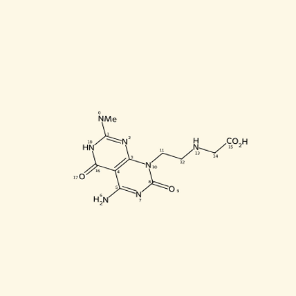 CNc1nc2c(c(N)nc(=O)n2CCNCC(=O)O)c(=O)[nH]1